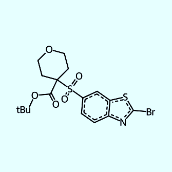 CC(C)(C)OC(=O)C1(S(=O)(=O)c2ccc3nc(Br)sc3c2)CCOCC1